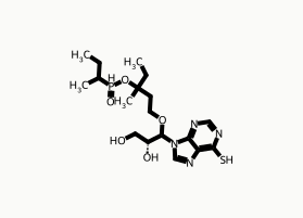 CCC(C)[PH](=O)OC(C)(CC)CCOC([C@H](O)CO)n1cnc2c(S)ncnc21